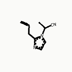 C=CCc1nccn1C(C)C#N